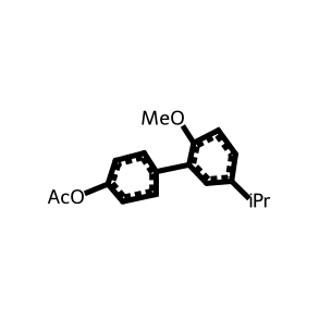 COc1ccc(C(C)C)cc1-c1ccc(OC(C)=O)cc1